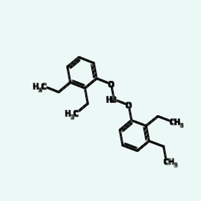 CCc1cccc(OBOc2cccc(CC)c2CC)c1CC